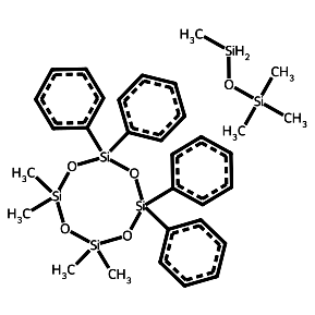 C[SiH2]O[Si](C)(C)C.C[Si]1(C)O[Si](C)(C)O[Si](c2ccccc2)(c2ccccc2)O[Si](c2ccccc2)(c2ccccc2)O1